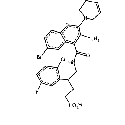 Cc1c(N2CC=CCC2)nc2ccc(Br)cc2c1C(=O)NCC(CCC(=O)O)c1cc(F)ccc1Cl